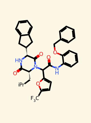 CC(C)C[C@@H]1C(=O)N[C@H](C2Cc3ccccc3C2)C(=O)N1C(C(=O)Nc1ccccc1OCc1ccccc1)c1ccc(C(F)(F)F)o1